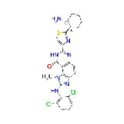 Cn1c(Nc2c(Cl)cccc2Cl)nc2ccc3nc(-c4csc([C@@H]5CCCC[C@H]5N)n4)[nH]c(=O)c3c21